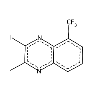 Cc1nc2cccc(C(F)(F)F)c2nc1I